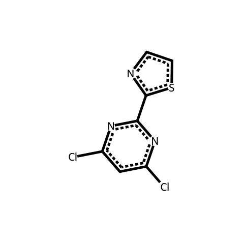 Clc1cc(Cl)nc(-c2nccs2)n1